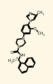 COc1cc(N2CCN(C(=O)N[C@@H](C)c3cccc4ccccc34)CC2)ccc1-n1cnc(C)c1